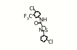 O=C(Nc1ccc(Cl)c(C(F)(F)F)c1)C1CSC(c2cccc(Cl)c2)=N1